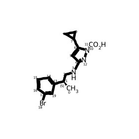 C[C@H](CNc1cc(C2CC2)n(C(=O)O)n1)c1cccc(Br)c1